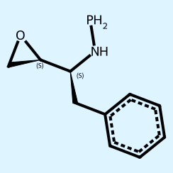 PN[C@@H](Cc1ccccc1)[C@H]1CO1